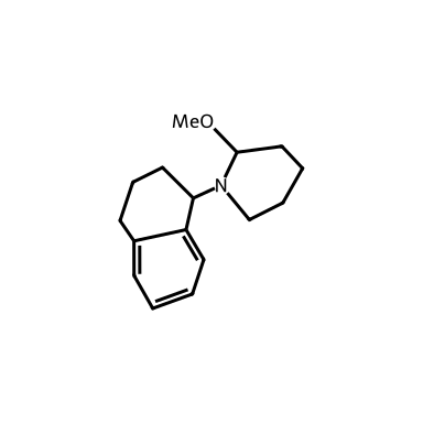 COC1CCCCN1C1CCCc2ccccc21